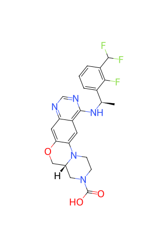 C[C@@H](Nc1ncnc2cc3c(cc12)N1CCN(C(=O)O)C[C@@H]1CO3)c1cccc(C(F)F)c1F